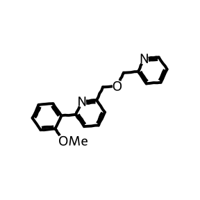 COc1ccccc1-c1cccc(COCc2ccccn2)n1